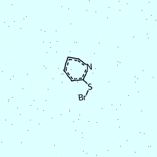 BrSc1ccccn1